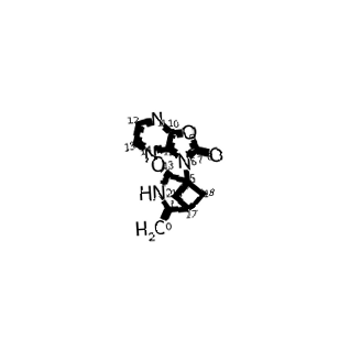 C=C1NC(=O)C2(n3c(=O)oc4nccnc43)CC1C2